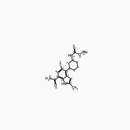 Cc1cc2c(C3CCCC(NC(=O)OC(C)(C)C)C3)c(F)cc(C(N)=O)c2[nH]1